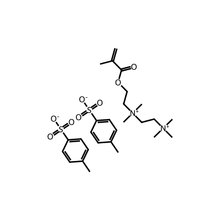 C=C(C)C(=O)OCC[N+](C)(C)CC[N+](C)(C)C.Cc1ccc(S(=O)(=O)[O-])cc1.Cc1ccc(S(=O)(=O)[O-])cc1